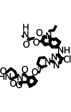 CCCn1c(=O)c(OCC(=O)NC)cc2cc(Nc3nc(N4CCC[C@H](COc5cccc6c5C(=O)N(C5CCC(=O)NC5=O)C6=O)C4)ncc3Cl)ccc21